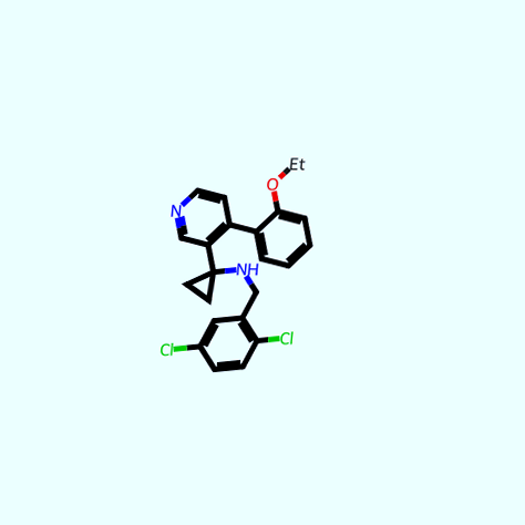 CCOc1ccccc1-c1ccncc1C1(NCc2cc(Cl)ccc2Cl)CC1